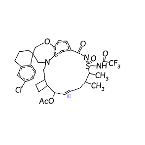 CC(=O)OC1/C=C/CC(C)C(C)S(=O)(NC(=O)C(F)(F)F)=NC(=O)c2ccc3c(c2)N(CC2CCC21)CC1(CCCc2cc(Cl)ccc21)CO3